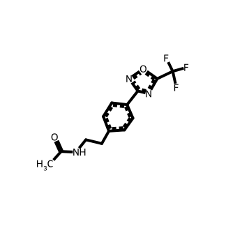 CC(=O)NCCc1ccc(-c2noc(C(F)(F)F)n2)cc1